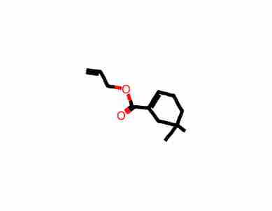 C=CCOC(=O)C1=CCCC(C)(C)C1